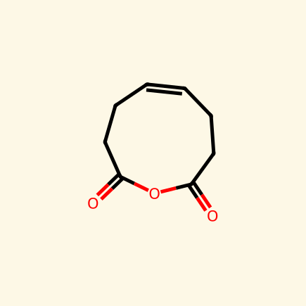 O=C1CCC=CCCC(=O)O1